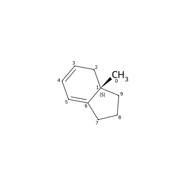 C[C@]12CC=CC=C1CCC2